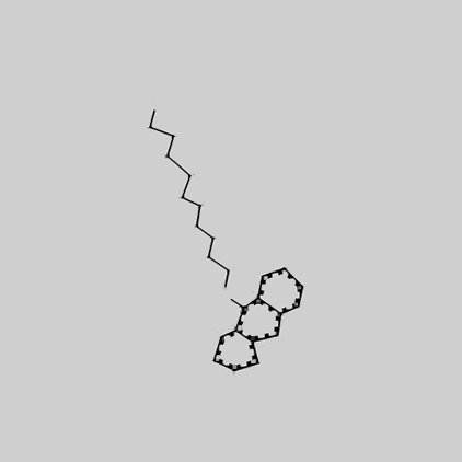 ClCCCCCCCCCCOc1c2ccccc2cc2ccccc12